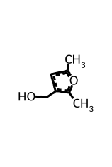 Cc1cc(CO)c(C)o1